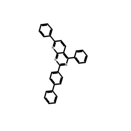 c1ccc(-c2ccc(-c3nc(-c4ccccc4)c4ccc(-c5ccccc5)nc4n3)cc2)cc1